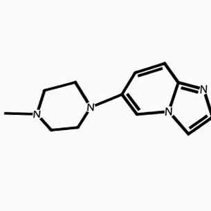 CN1CCN(c2ccc3nccn3c2)CC1